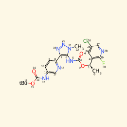 C[C@@H](OC(=O)Nc1c(-c2ccc(NC(=O)OC(C)(C)C)cn2)nnn1C)c1cc(Cl)cnc1F